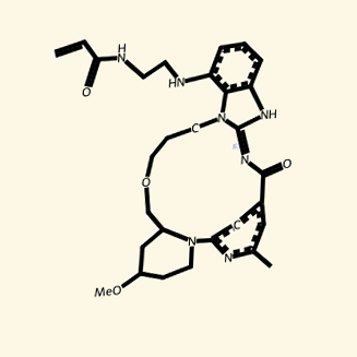 C=CC(=O)NCCNc1cccc2c1N1CCCOCC3CC(OC)CCN3c3cc(cc(C)n3)C(=O)/N=C/1N2